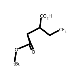 CC(C)(C)OC(=O)CC(CC(F)(F)F)C(=O)O